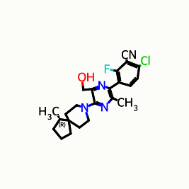 Cc1nc(N2CCC3(CCC[C@H]3C)CC2)c(CO)nc1-c1ccc(Cl)c(C#N)c1F